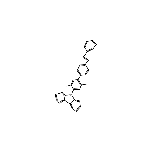 Cc1cc(-n2c3ccccc3c3ccccc32)c(C)cc1-c1ccc(/C=C/c2ccccc2)cc1